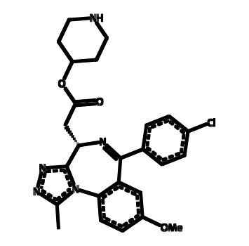 COc1ccc2c(c1)C(c1ccc(Cl)cc1)=N[C@@H](CC(=O)OC1CCNCC1)c1nnc(C)n1-2